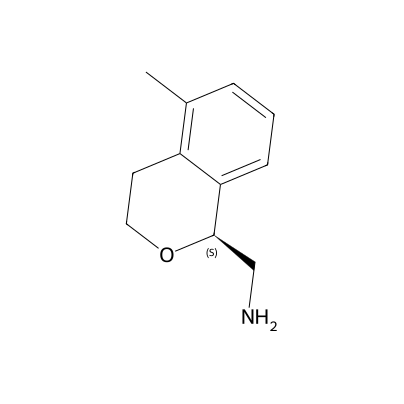 Cc1cccc2c1CCO[C@@H]2CN